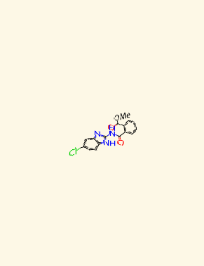 COC(=O)c1ccccc1C(=O)Nc1nc2cc(Cl)ccc2[nH]1